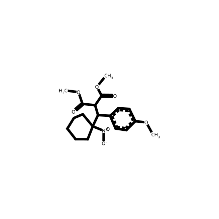 COC(=O)C(C(=O)OC)C(c1ccc(OC)cc1)C1([N+](=O)[O-])CCCCC1